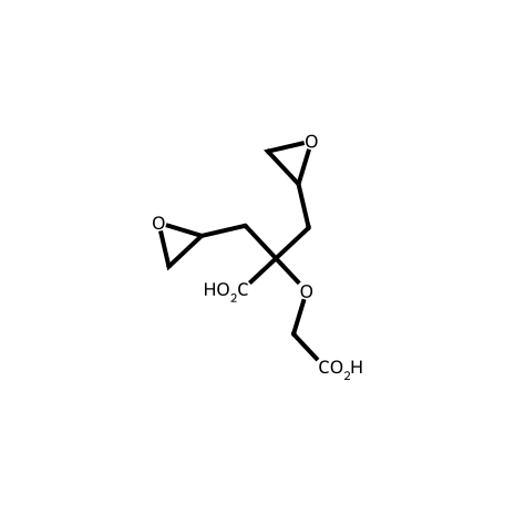 O=C(O)COC(CC1CO1)(CC1CO1)C(=O)O